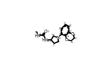 CNC(=O)NC1CCN(c2cccc3c2OCCO3)C1